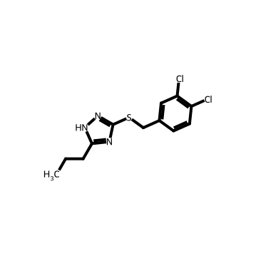 CCCc1nc(SCc2ccc(Cl)c(Cl)c2)n[nH]1